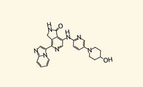 O=C1NCc2c(-c3cnc4ccccn34)ncc(Nc3ccc(N4CCC(O)CC4)cn3)c21